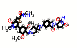 CNC(=O)c1cc2c(=O)n(C)cc(-c3cc(OC)c(CN4CCC5(CC4)CN(c4ccc6c(c4)C(=O)N(C4CCC(=O)NC4=O)C6)C5)c(OC)c3)c2s1